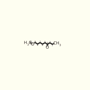 CCCC(=O)CCCCCOC